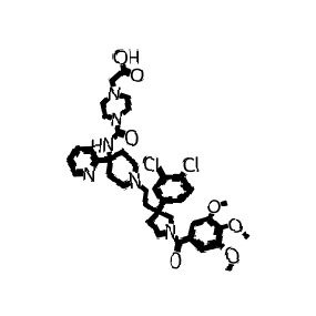 COc1cc(C(=O)N2CCC(CCN3CCC(NC(=O)N4CCN(CC(=O)O)CC4)(c4ccccn4)CC3)(c3ccc(Cl)c(Cl)c3)C2)cc(OC)c1OC